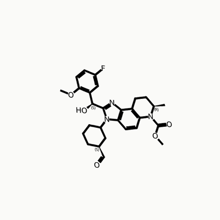 COC(=O)N1c2ccc3c(nc([C@@H](O)c4cc(F)ccc4OC)n3C3CCC[C@H](C=O)C3)c2CC[C@H]1C